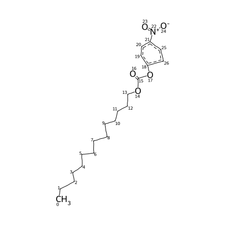 CCCCCCCCCCCCCCOC(=O)Oc1ccc([N+](=O)[O-])cc1